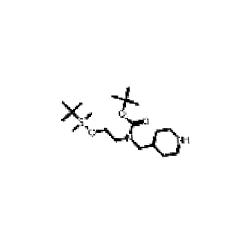 CC(C)(C)OC(=O)N(CCO[Si](C)(C)C(C)(C)C)CC1CCNCC1